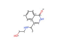 CC(NCCO)c1c[nH]c(=O)c2ccccc12